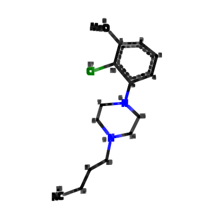 COc1cccc(N2CCN(CCCC#N)CC2)c1Cl